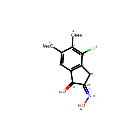 COc1cc2c(c(Cl)c1OC)C/C(=N/O)C2=O